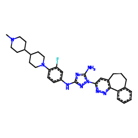 CN1CCC(C2CCN(c3ccc(Nc4nc(N)n(-c5cc6c(nn5)-c5ccccc5CCC6)n4)cc3F)CC2)CC1